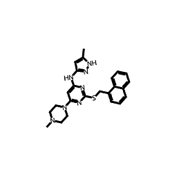 Cc1cc(Nc2cc(N3CCN(C)CC3)nc(SCc3cccc4ccccc34)n2)n[nH]1